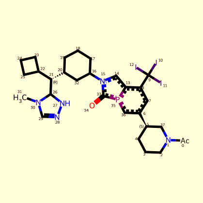 CC(=O)N1CCC[C@@H](c2cc(C(I)(I)I)c3cn(C4CCCC([C@@H](C5CCC5)C5NN=CN5C)C4)c(=O)p3c2)C1